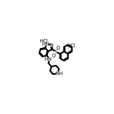 Cl.Cl.O=S(=O)(c1cccc2ccccc12)c1n[nH]c2cccc(NCC3CCNCC3)c12